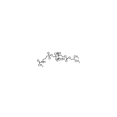 CC(=O)NCCCS(=O)(=O)OCC(C)(C)[C@](O)(CCOC(=O)OCC(C)C)C(=O)O